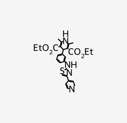 CCOC(=O)C1=C(C)NC(C)=C(C(=O)OCC)C1c1cccc(Nc2nc(-c3ccncc3)cs2)c1